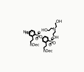 CCCCCCCCCCCCc1ccccc1S(=O)(=O)[O-].CCCCCCCCCCCCc1ccccc1S(=O)(=O)[O-].OCCN(CCO)CCO.[Na+].[Na+]